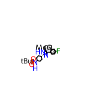 COc1cc(F)ccc1-c1nc([C@H]2CC[C@H](NS(=O)(=O)C(C)(C)C)CC2)[nH]c1C(F)(F)F